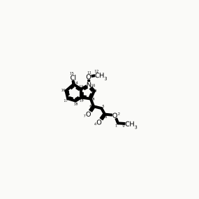 CCOC(=O)CC(=O)c1cn(OC)c2c(Cl)cccc12